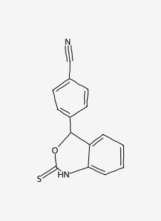 N#Cc1ccc(C2OC(=S)Nc3ccccc32)cc1